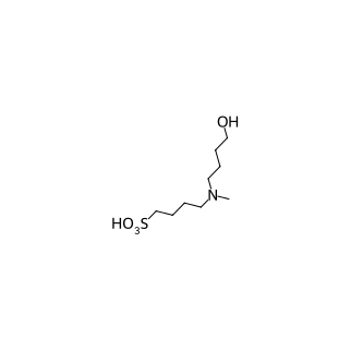 CN(CCCCO)CCCCS(=O)(=O)O